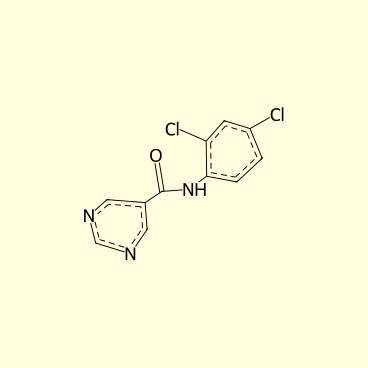 O=C(Nc1ccc(Cl)cc1Cl)c1cncnc1